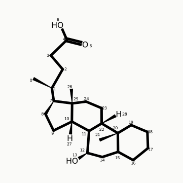 C[C@@H](CCC(=O)O)[C@@H]1CC[C@H]2C3[C@H](O)CC4CCCC[C@@]4(C)[C@H]3CC[C@]21C